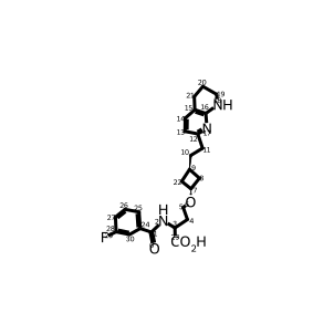 O=C(NC(CCO[C@H]1C[C@H](CCc2ccc3c(n2)NCCC3)C1)C(=O)O)c1cccc(F)c1